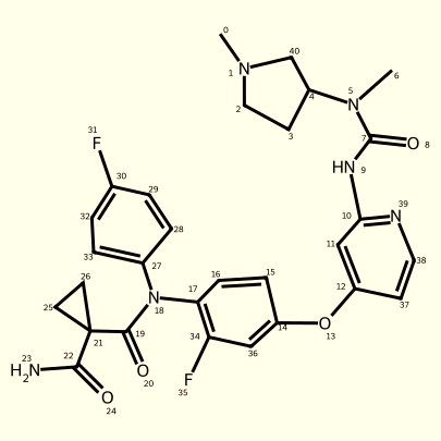 CN1CCC(N(C)C(=O)Nc2cc(Oc3ccc(N(C(=O)C4(C(N)=O)CC4)c4ccc(F)cc4)c(F)c3)ccn2)C1